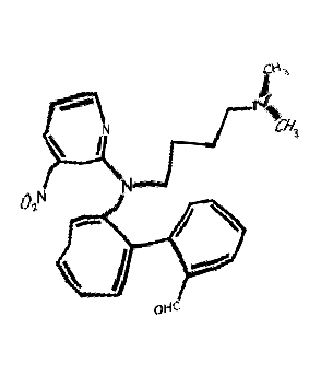 CN(C)CCCCN(c1ccccc1-c1ccccc1C=O)c1ncccc1[N+](=O)[O-]